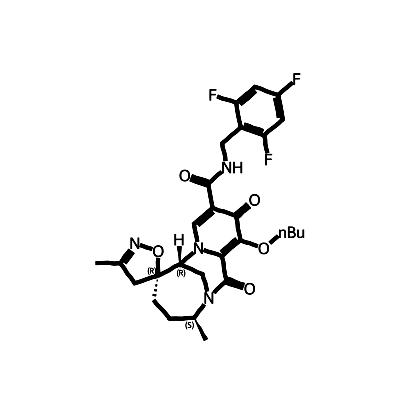 CCCCOc1c2n(cc(C(=O)NCc3c(F)cc(F)cc3F)c1=O)[C@@H]1CN(C2=O)[C@@H](C)CC[C@@]12CC(C)=NO2